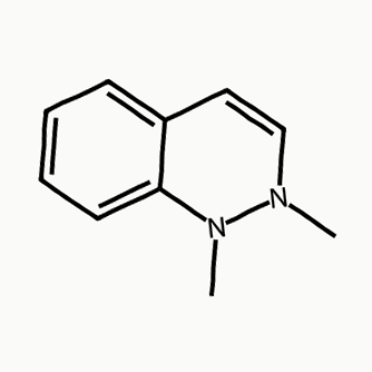 CN1C=Cc2ccccc2N1C